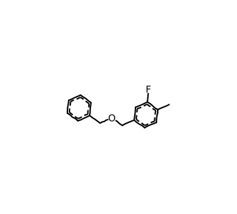 Cc1ccc(COCc2ccccc2)cc1F